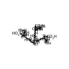 CCOC(COCC(=O)NCCCCC(NC(=O)NC(=O)OC(C)(C)C)C(=O)NCC(=O)O)C(COCC(=O)NCCCCC(NC(O)NC(=O)OC(C)(C)C)C(=O)NCC(=O)O)OCC(=O)NCCCCC(NNC(=O)OC(C)(C)C)C(=O)NCC(=O)O